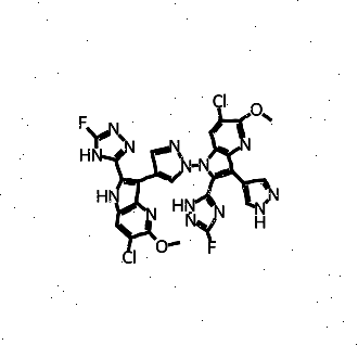 COc1nc2c(-c3cnn(-n4c(-c5nc(F)n[nH]5)c(-c5cn[nH]c5)c5nc(OC)c(Cl)cc54)c3)c(-c3nnc(F)[nH]3)[nH]c2cc1Cl